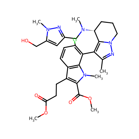 COC(=O)CCc1c(C(=O)OC)n(C)c2c(-c3c(C)nn4c3[C@H](N(C)Cc3cc(CO)n(C)n3)CCC4)c(Cl)ccc12